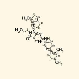 C=CCn1c(=O)c2cnc(Nc3ccc(N4CCN(C)C[C@H]4C)cc3)nc2n1-c1ccc2c(n1)C(C)CC2